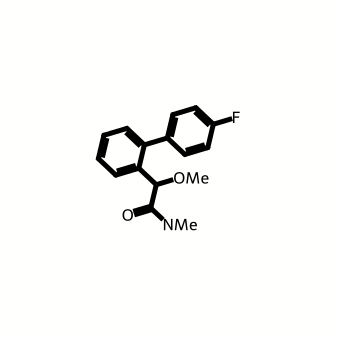 CNC(=O)C(OC)c1ccccc1-c1ccc(F)cc1